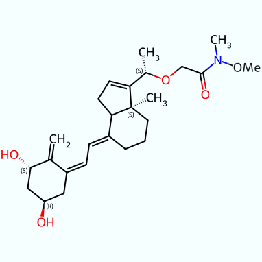 C=C1C(=CC=C2CCC[C@]3(C)C([C@H](C)OCC(=O)N(C)OC)=CCC23)C[C@@H](O)C[C@@H]1O